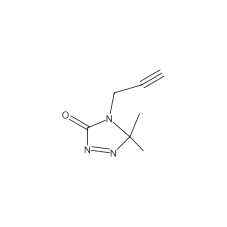 C#CCN1C(=O)N=NC1([CH2])C